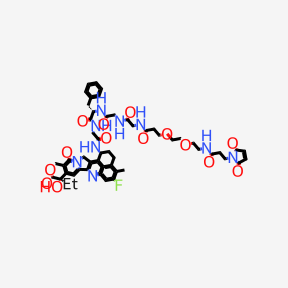 CC[C@@]1(O)C(=O)OCc2c1cc1n(c2=O)Cc2c-1nc1cc(F)c(C)c3c1c2[C@@H](NC(=O)CNC(=O)[C@H](Cc1ccccc1)NC(=O)CNC(=O)CNC(=O)CCOCCOCCNC(=O)CCN1C(=O)C=CC1=O)CC3